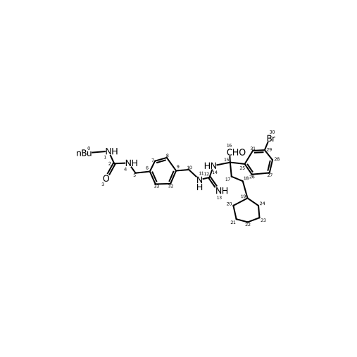 CCCCNC(=O)NCc1ccc(CNC(=N)NC(C=O)(CCC2CCCCC2)c2cccc(Br)c2)cc1